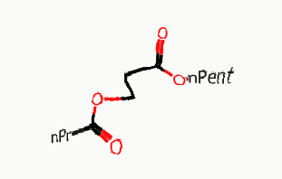 [CH2]CCC(=O)OCCC(=O)OCCCCC